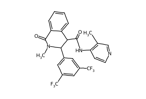 Cc1cnccc1NC(=O)C1c2ccccc2C(=O)N(C)C1c1cc(C(F)(F)F)cc(C(F)(F)F)c1